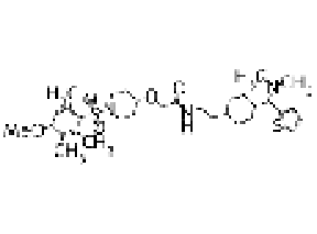 COc1cc(C)c(S(=O)(=O)N2CCC(OCC(=O)NCCC3CCC(C(c4cccs4)N(C)C)CC3)CC2)c(C)c1C